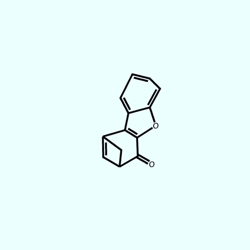 O=C1c2oc3ccccc3c2C2=CC1C2